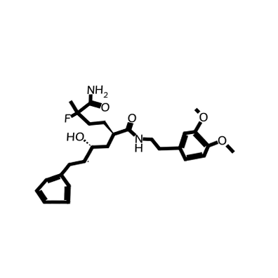 COc1ccc(CCNC(=O)[C@H](CCC(C)(F)C(N)=O)C[C@@H](O)[CH]Cc2ccccc2)cc1OC